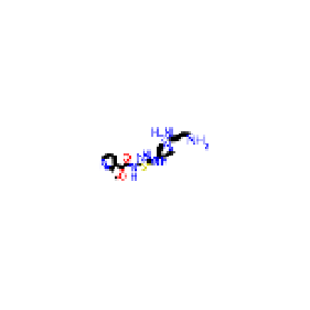 COC(C(=O)Nc1nnc(NC2CCN(/C(N)=C/C=C\N)CC2)s1)c1cccnc1